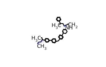 C=C/C(=C\CC(C)c1ccccc1)NC1=CC=C(c2ccc(Cc3ccc(-c4ccc(/C(=C/C=C\C)CC)cc4)cc3)cc2)CC1